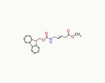 COC(=O)C/C=C/CNC(=O)OCC1c2ccccc2-c2ccccc21